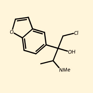 CNC(C)C(O)(CCl)c1ccc2occc2c1